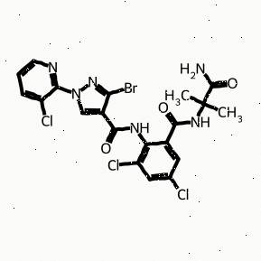 CC(C)(NC(=O)c1cc(Cl)cc(Cl)c1NC(=O)c1cn(-c2ncccc2Cl)nc1Br)C(N)=O